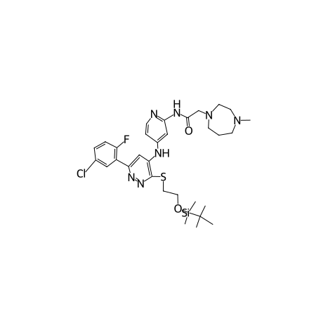 CN1CCCN(CC(=O)Nc2cc(Nc3cc(-c4cc(Cl)ccc4F)nnc3SCCO[Si](C)(C)C(C)(C)C)ccn2)CC1